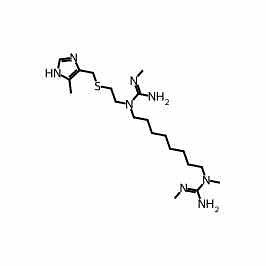 CN=C(N)N(C)CCCCCCCCN(CCSCc1nc[nH]c1C)C(N)=NC